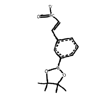 CC1(C)OB(c2cccc(/C=C/[N+](=O)[O-])c2)OC1(C)C